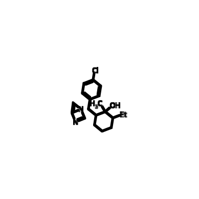 CCC1CCCC(Cc2ccc(Cl)cc2)C1(C)O.c1nc2cn1-2